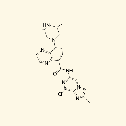 Cc1cn2cc(NC(=O)c3ccc(N4CC(C)NC(C)C4)c4nccnc34)nc(Cl)c2n1